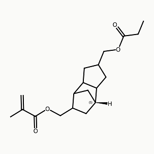 C=C(C)C(=O)OCC1C[C@@H]2CC1C1CC(COC(=O)CC)CC12